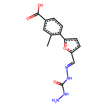 Cc1cc(C(=O)O)ccc1-c1ccc(C=NNC(=O)NN)o1